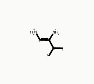 CC(C)/C(N)=C/N